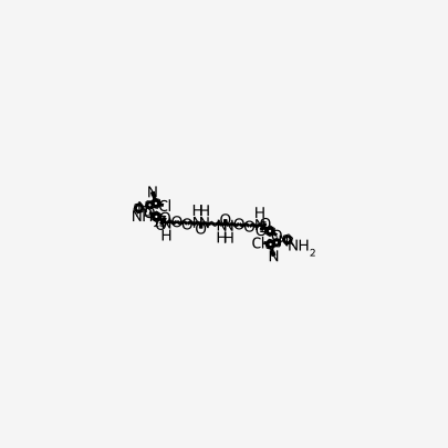 N#Cc1cc(Cl)cc2c1C[C@H](N1CCC[C@@H](N)C1)[C@H]2Oc1ccc(S(=O)(=O)NCCOCCOCCNC(=O)NCCCCNC(=O)NCCOCCOCCNS(=O)(=O)c2ccc(O[C@H]3c4cc(Cl)cc(C#N)c4C[C@@H]3N3CCC[C@@H](N)C3)cc2)cc1